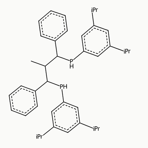 CC(C)c1cc(PC(c2ccccc2)C(C)C(Pc2cc(C(C)C)cc(C(C)C)c2)c2ccccc2)cc(C(C)C)c1